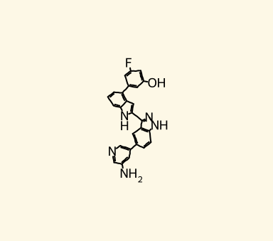 Nc1cncc(-c2ccc3[nH]nc(-c4cc5c(-c6cc(O)cc(F)c6)cccc5[nH]4)c3c2)c1